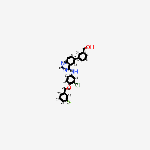 OCc1cccc(-c2ccc3ncnc(Nc4ccc(OCc5cccc(F)c5)c(Cl)c4)c3c2)c1